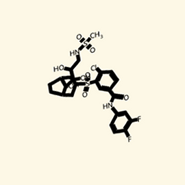 CS(=O)(=O)NCC(O)C(O)C1(O)C2CCC1CC(S(=O)(=O)c1cc(C(=O)Nc3ccc(F)c(F)c3)ccc1Cl)C2